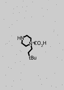 CC(C)(C)CC[N+]1(C(=O)O)CCNCC1